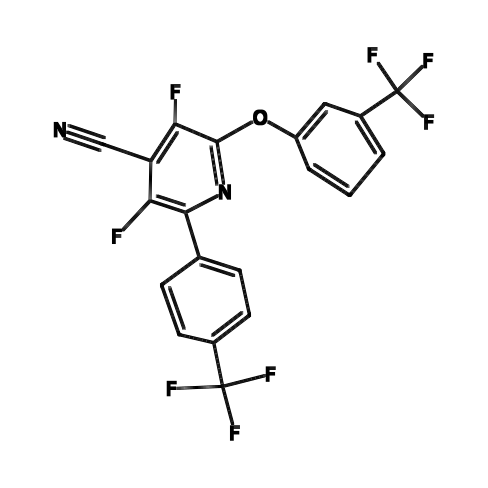 N#Cc1c(F)c(Oc2cccc(C(F)(F)F)c2)nc(-c2ccc(C(F)(F)F)cc2)c1F